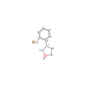 Brc1ccccc1C1CCOC1